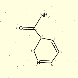 NC(=O)C1C=CC=NC1